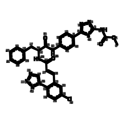 COC(=O)Nc1nnc(-c2ccc(NC(=O)[C@H](Cc3ccccc3)NC(=O)C=Cc3cc(Cl)ccc3-n3cnnn3)cc2)s1